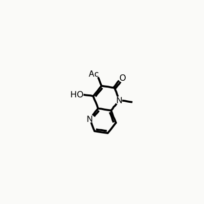 CC(=O)c1c(O)c2ncccc2n(C)c1=O